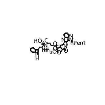 CCCCCN1C=Nc2cccc3nc4c(c1c23)Cn1c-4cc2c(c1=O)COC(=O)[C@@]2(CC)OC(=O)CC[C@H](NC(=O)[C@@H](N)Cc1c[nH]c2ccccc12)C(=O)O